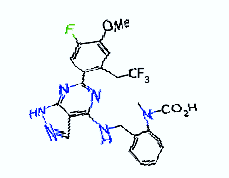 COc1cc(CC(F)(F)F)c(-c2nc(NCc3ccccc3N(C)C(=O)O)c3cn[nH]c3n2)cc1F